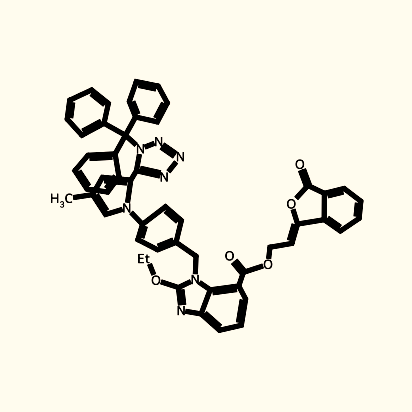 CCOc1nc2cccc(C(=O)OC/C=C3\OC(=O)c4ccccc43)c2n1Cc1ccc(-n2cc(C)cc2-c2nnnn2C(c2ccccc2)(c2ccccc2)c2ccccc2)cc1